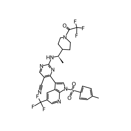 Cc1ccc(S(=O)(=O)n2cc(-c3nc(N[C@H](C)C4CCN(C(=O)C(F)(F)F)CC4)ncc3C#N)c3cc(C(F)(F)F)cnc32)cc1